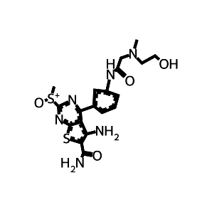 CN(CCO)CC(=O)Nc1cccc(-c2nc([S+](C)[O-])nc3sc(C(N)=O)c(N)c23)c1